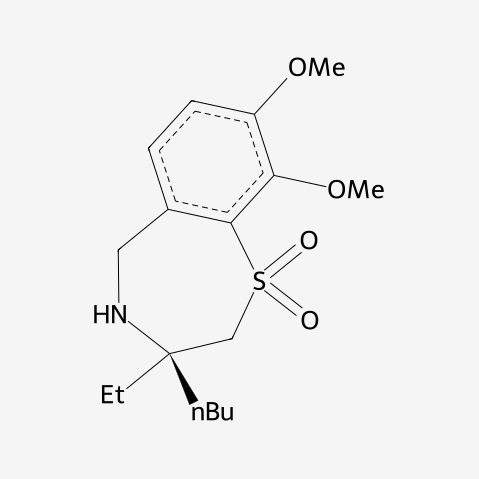 CCCC[C@]1(CC)CS(=O)(=O)c2c(ccc(OC)c2OC)CN1